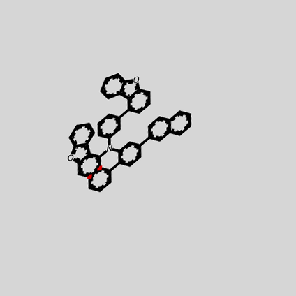 c1ccc(-c2ccc(-c3ccc4ccccc4c3)cc2N(c2cccc(-c3cccc4oc5ccccc5c34)c2)c2cccc3oc4ccccc4c23)cc1